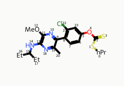 CCCSC(=S)Oc1ccc(-c2nc(OC)c(NC(CC)CC)nc2C)c(Cl)c1